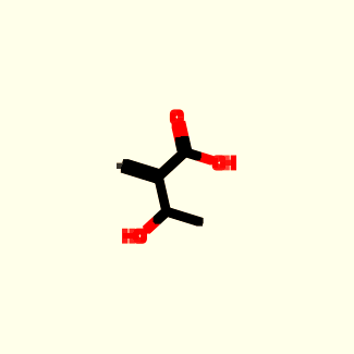 [CH]=C(C(=O)O)C(C)O